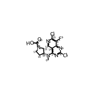 CN(c1nc(Cl)nc2c(F)c(Cl)ncc12)[C@@H]1CCN(C(=O)O)C1